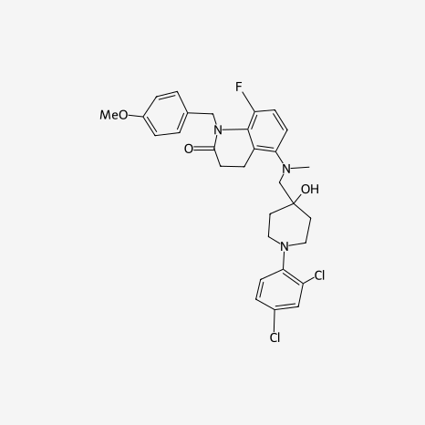 COc1ccc(CN2C(=O)CCc3c(N(C)CC4(O)CCN(c5ccc(Cl)cc5Cl)CC4)ccc(F)c32)cc1